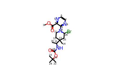 COC(=O)c1nccnc1N1CCC(C)(C(C)NC(=O)OC(C)(C)C)CC1Br